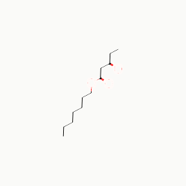 CCCCCCCOC(=O)CC(=O)CC